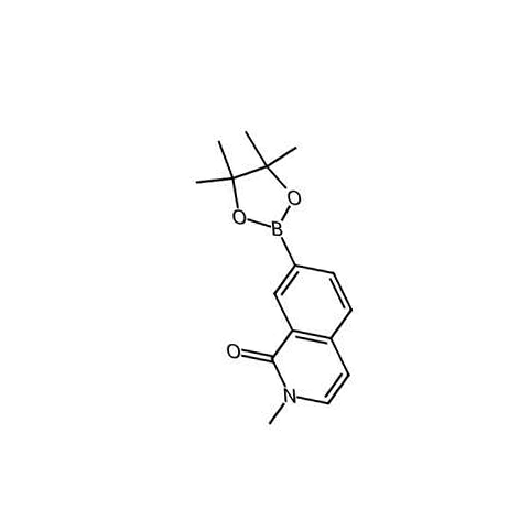 Cn1ccc2ccc(B3OC(C)(C)C(C)(C)O3)cc2c1=O